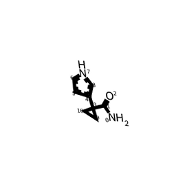 NC(=O)C1(c2cc[nH]c2)CC1